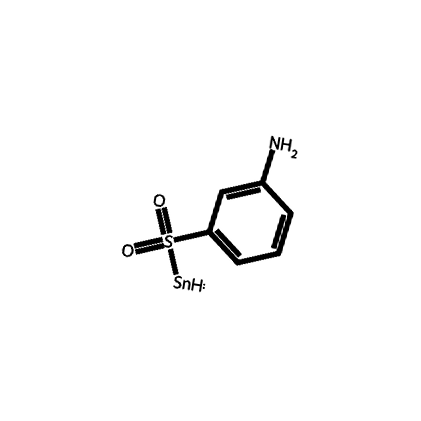 Nc1cccc([S](=O)(=O)[SnH])c1